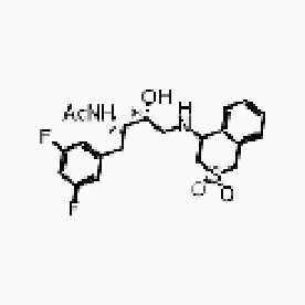 CC(=O)N[C@@H](Cc1cc(F)cc(F)c1)[C@H](O)CNC1CS(=O)(=O)Cc2ccccc21